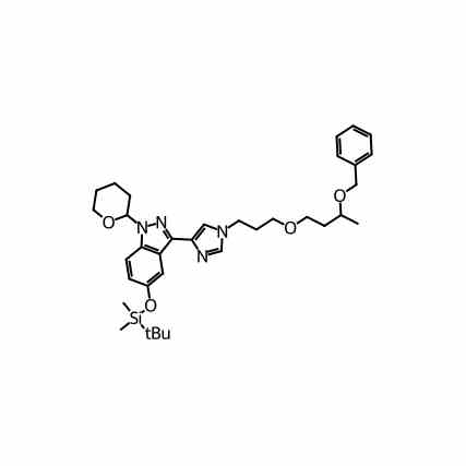 CC(CCOCCCn1cnc(-c2nn(C3CCCCO3)c3ccc(O[Si](C)(C)C(C)(C)C)cc23)c1)OCc1ccccc1